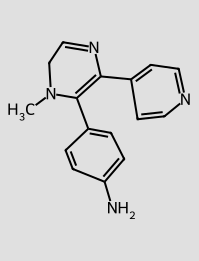 CN1CC=NC(c2ccncc2)=C1c1ccc(N)cc1